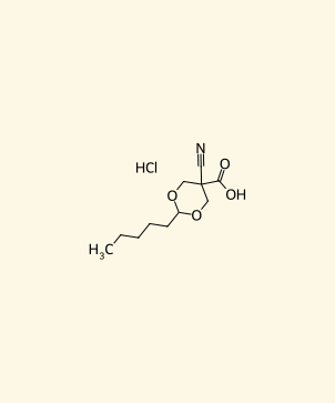 CCCCCC1OCC(C#N)(C(=O)O)CO1.Cl